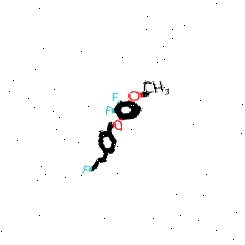 CCOc1ccc(OCC2CCC(/C=C/CF)CC2)c(F)c1F